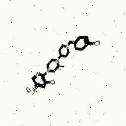 C[C@H]1CN(c2ncc([N+](=O)[O-])cc2Cl)CCN1C1CCN(Cc2ccc(Cl)cc2)CC1